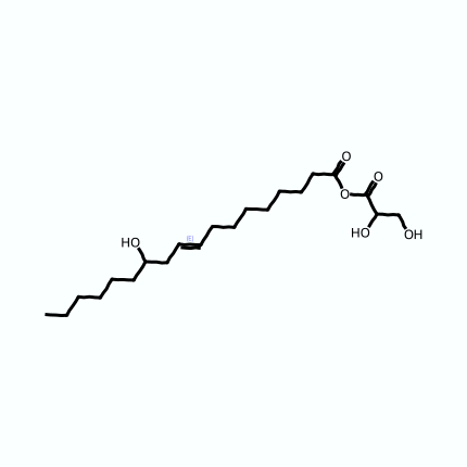 CCCCCCC(O)C/C=C/CCCCCCCC(=O)OC(=O)C(O)CO